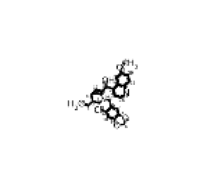 C=CC1C[N+]2(Cc3cc4c(cc3Cl)OCO4)CCC1CC2[C@@H](O)c1ccnc2ccc(OC)cc12